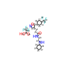 O=C(CCc1cnoc1-c1ccc(C(F)(F)F)cc1)NCCNc1ccccc1.O=C(O)C(F)(F)F